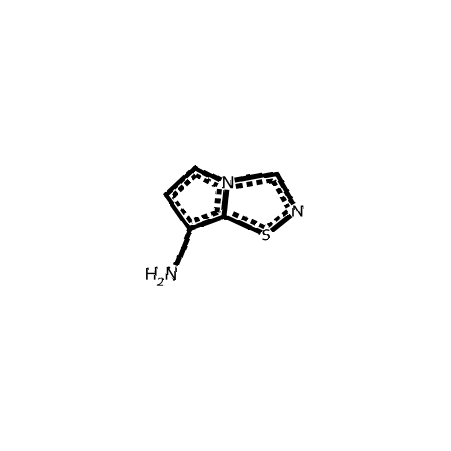 Nc1ccn2cnsc12